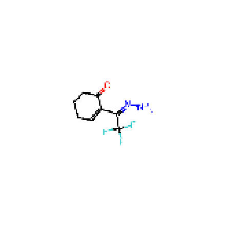 NN=C(C1=CCCCC1=O)C(F)(F)F